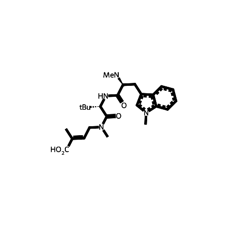 CN[C@@H](Cc1cn(C)c2ccccc12)C(=O)N[C@H](C(=O)N(C)C/C=C(\C)C(=O)O)C(C)(C)C